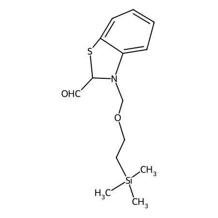 C[Si](C)(C)CCOCN1c2ccccc2SC1C=O